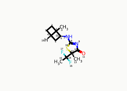 CC12CC[C@H]1C[C@@H]2NC1=NC(=O)[C@](C)(C(C)(F)F)S1